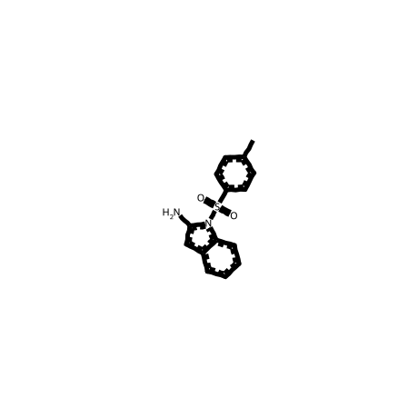 Cc1ccc(S(=O)(=O)n2c(N)cc3ccccc32)cc1